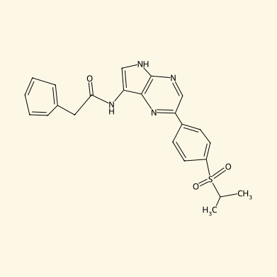 CC(C)S(=O)(=O)c1ccc(-c2cnc3[nH]cc(NC(=O)Cc4ccccc4)c3n2)cc1